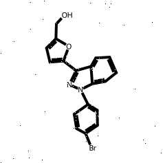 OCc1ccc(-c2nn(-c3ccc(Br)cc3)c3ccccc23)o1